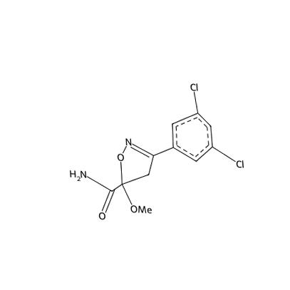 COC1(C(N)=O)CC(c2cc(Cl)cc(Cl)c2)=NO1